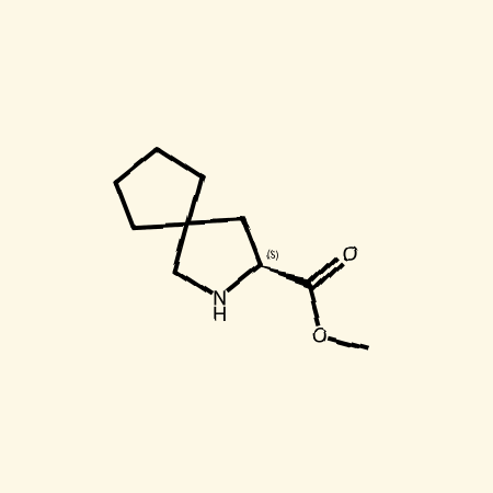 COC(=O)[C@@H]1CC2(CCCC2)CN1